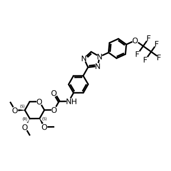 CO[C@@H]1[C@@H](OC)COC(OC(=O)Nc2ccc(-c3ncn(-c4ccc(OC(F)(F)C(F)(F)F)cc4)n3)cc2)[C@H]1OC